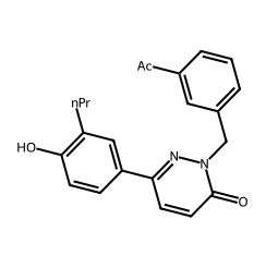 CCCc1cc(-c2ccc(=O)n(Cc3cccc(C(C)=O)c3)n2)ccc1O